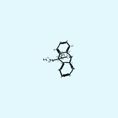 NC12c3ccccc3C(CC1O)c1ccccc12